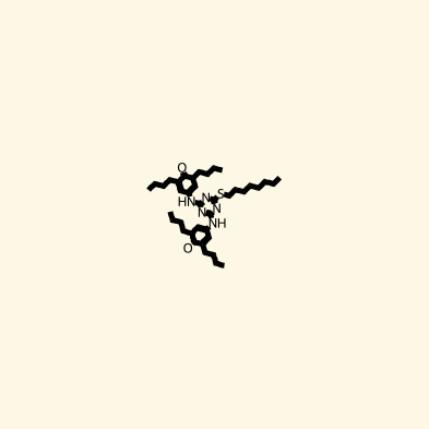 CCCCCCCCSc1nc(NC2=CC(CCCC)C(=O)C(CCCC)=C2)nc(NC2=CC(CCCC)C(=O)C(CCCC)=C2)n1